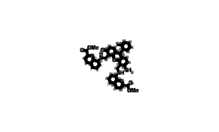 COC(=O)c1ccc2cccc(NCc3c4oc5c(CNc6cccc7ccc(C(=O)OC)nc67)c(N)ccc5c(-c5ccccc5C)c-4ccc3=O)c2n1